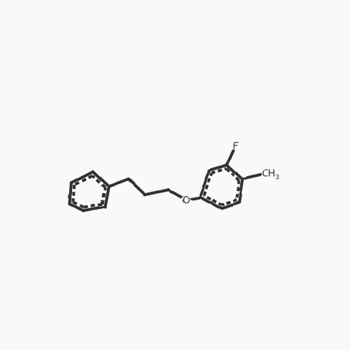 Cc1ccc(OCCCc2ccccc2)cc1F